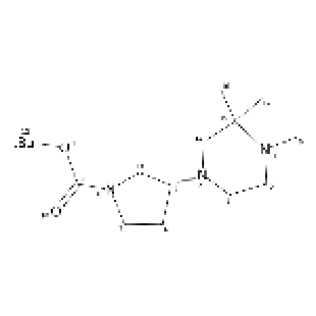 CN1CCN([C@@H]2CCN(C(=O)OC(C)(C)C)C2)CC1(C)C